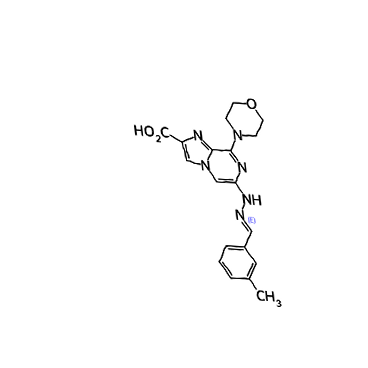 Cc1cccc(/C=N/Nc2cn3cc(C(=O)O)nc3c(N3CCOCC3)n2)c1